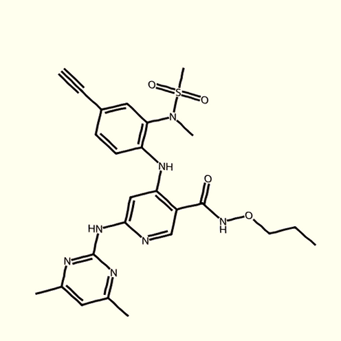 C#Cc1ccc(Nc2cc(Nc3nc(C)cc(C)n3)ncc2C(=O)NOCCC)c(N(C)S(C)(=O)=O)c1